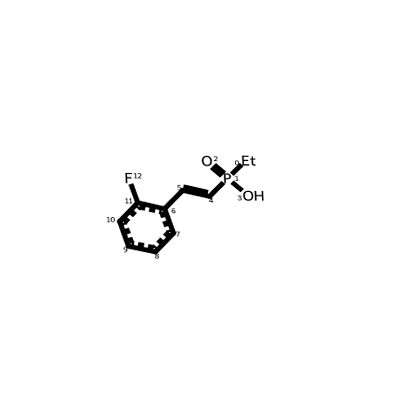 CCP(=O)(O)C=Cc1ccccc1F